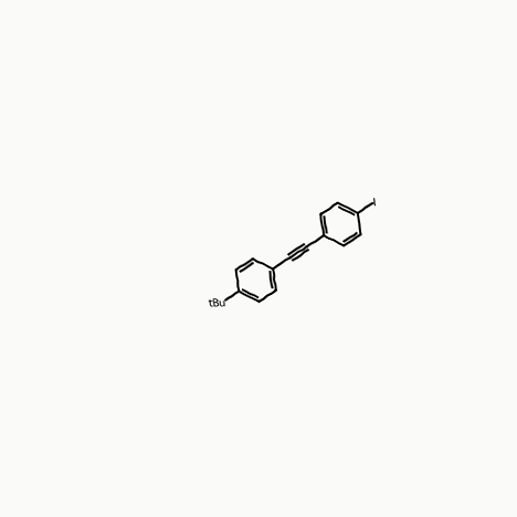 CC(C)(C)c1ccc(C#Cc2ccc(I)cc2)cc1